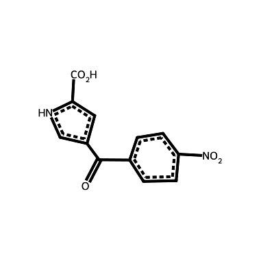 O=C(c1ccc([N+](=O)[O-])cc1)c1c[nH]c(C(=O)O)c1